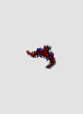 CCCCCCc1ccc(-c2ccc(-c3ncc(-c4cc5c(s4)-c4sc(-c6cnc(-c7ccc(-c8ccc(CCCCCC)s8)s7)c7nsnc67)cc4S5(CCCCCC)CCCCCC)c4nsnc34)s2)s1